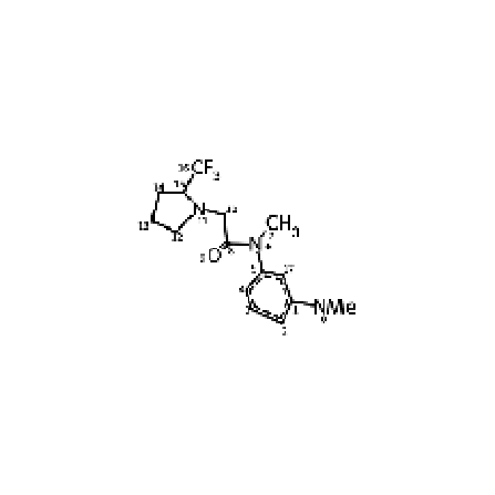 CNc1cccc(N(C)C(=O)CN2CCCC2C(F)(F)F)c1